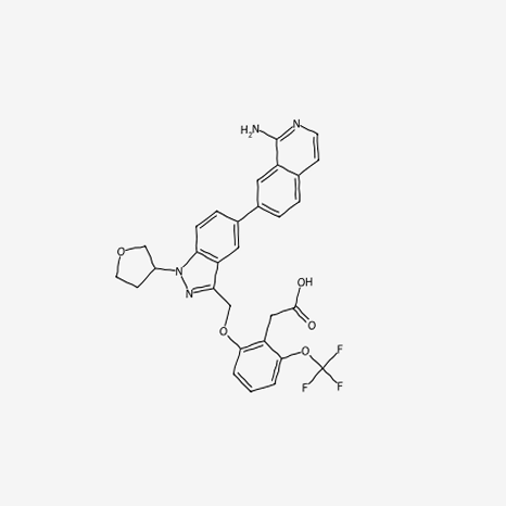 Nc1nccc2ccc(-c3ccc4c(c3)c(COc3cccc(OC(F)(F)F)c3CC(=O)O)nn4C3CCOC3)cc12